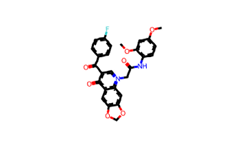 COc1ccc(NC(=O)Cn2cc(C(=O)c3ccc(F)cc3)c(=O)c3cc4c(cc32)OCO4)c(OC)c1